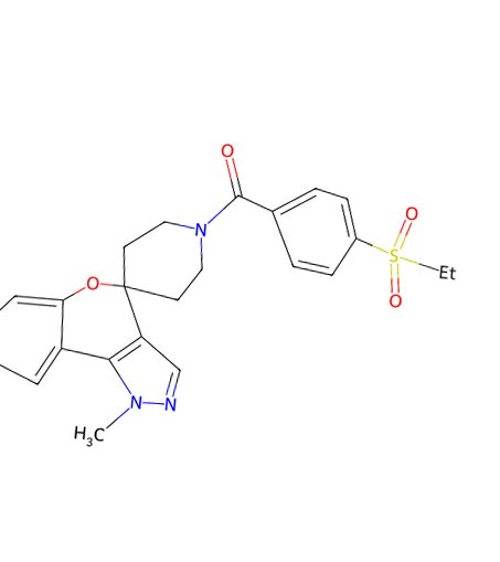 CCS(=O)(=O)c1ccc(C(=O)N2CCC3(CC2)Oc2ccccc2-c2c3cnn2C)cc1